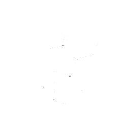 CC(C)(C)OC(=O)N(CO)C12C=CC(CC1)C2